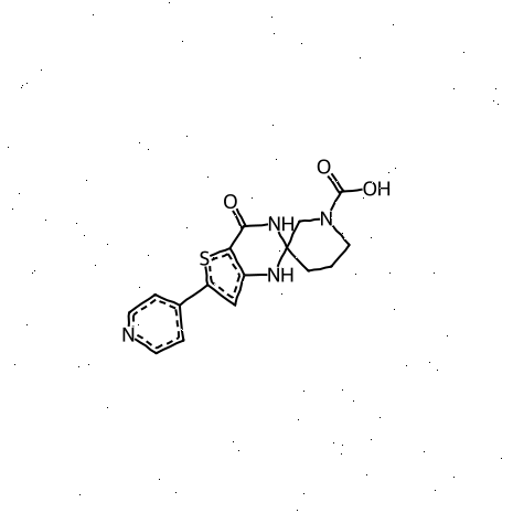 O=C1NC2(CCCN(C(=O)O)C2)Nc2cc(-c3ccncc3)sc21